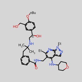 CCCCOc1ccc([C@@H](O)CNC(C)(C)Cc2cccc(C(=O)NCc3c(CC)nc4c(cnn4CC)c3NC3CCOCC3)c2)cc1CO